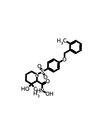 Cc1ccccc1COc1ccc(S(=O)(=O)N2CCCC(C)(O)C2C(=O)NO)cc1